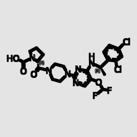 C[C@@H](Nc1nc(N2CCN(C(=O)[C@H]3CCCN3C(=O)O)CC2)ncc1OC(F)F)c1ccc(Cl)cc1Cl